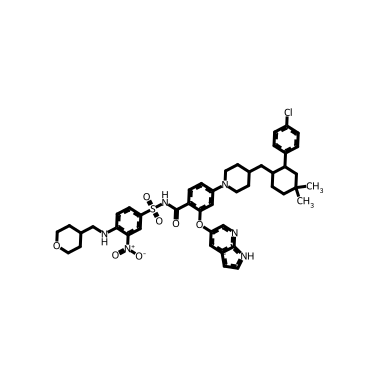 CC1(C)CCC(CC2CCN(c3ccc(C(=O)NS(=O)(=O)c4ccc(NCC5CCOCC5)c([N+](=O)[O-])c4)c(Oc4cnc5[nH]ccc5c4)c3)CC2)C(c2ccc(Cl)cc2)C1